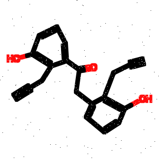 C#CCc1c(O)cccc1CC(=O)c1cccc(O)c1CC#C